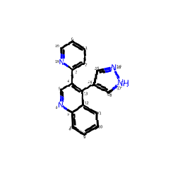 c1ccc(-c2cnc3ccccc3c2-c2cn[nH]c2)nc1